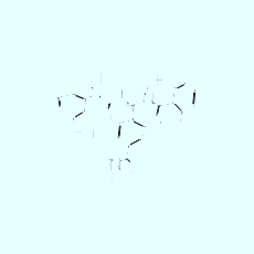 Cc1cccc(F)c1C(=O)N1CCCC(C(=O)Nc2cccc(C(C)(C)C)c2)[C@@H]1c1ccc(C(=O)N(C)C)cc1